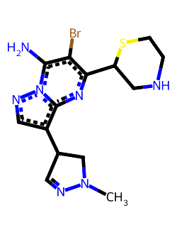 CN1CC(c2cnn3c(N)c(Br)c(C4CNCCS4)nc23)C=N1